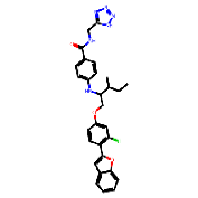 CCC(C)C(COc1ccc(-c2cc3ccccc3o2)c(Cl)c1)Nc1ccc(C(=O)NCc2nnn[nH]2)cc1